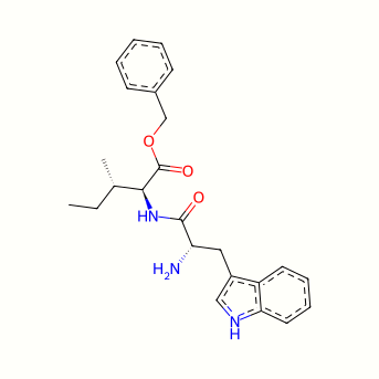 CC[C@H](C)[C@H](NC(=O)[C@@H](N)Cc1c[nH]c2ccccc12)C(=O)OCc1ccccc1